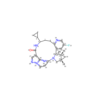 O=C1NC(C2CC2)CCc2ncc(F)cc2[C@H]2[C@@H]3C[C@@H]3CN2c2ccn3ncc1c3n2